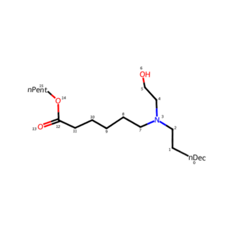 CCCCCCCCCCCCN(CCO)CCCCCC(=O)OCCCCC